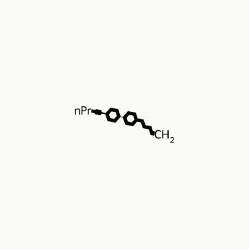 C=CCCCC1CCC([C@H]2CC[C@H](C#CCCC)CC2)CC1